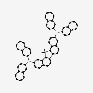 CC1(C)c2c(ccc3cc(N(c4ccc5ccccc5c4)c4ccc5ccccc5c4)ccc23)-c2ccc3ccc(N(c4ccc5ccccc5c4)c4ccc5ccccc5c4)cc3c21